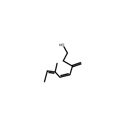 C=C(/C=C\C(C)=C/C)CCO